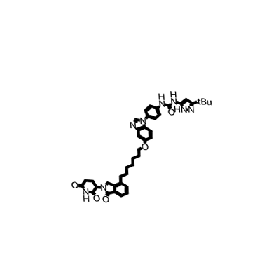 CC(C)(C)c1cc(NC(=O)Nc2ccc(-n3cnc4cc(OCCCCCCCc5cccc6c5CN(C5CCC(=O)NC5=O)C6=O)ccc43)cc2)[nH]n1